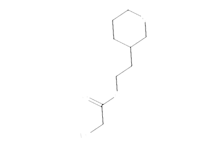 CCC(=O)OCCC1CCCOC1